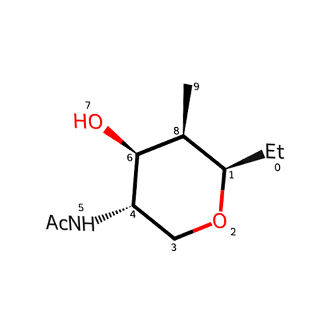 CC[C@H]1OC[C@H](NC(C)=O)[C@@H](O)[C@H]1C